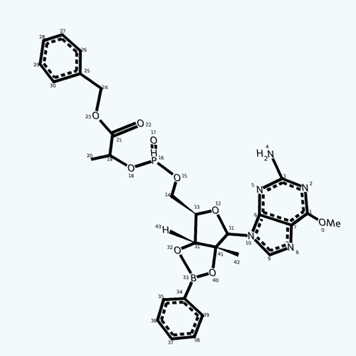 COc1nc(N)nc2c1ncn2C1O[C@H](CO[PH](=O)OC(C)C(=O)OCc2ccccc2)[C@H]2OB(c3ccccc3)O[C@@]12C